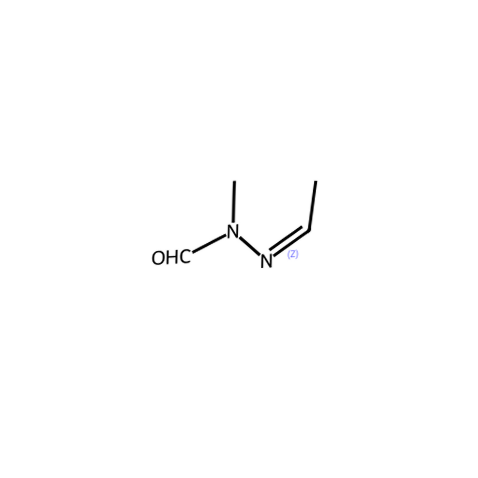 C/C=N\N(C)C=O